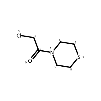 O=C(CCl)N1CCSCC1